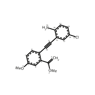 C=C(OC)c1cc(OC)ccc1C#Cc1cc(Cl)ccc1N